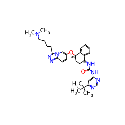 CN(C)CCCCc1nnc2ccc(O[C@@H]3CC[C@H](NC(=O)Nc4cc(C(C)(C)C)ncn4)c4ccccc43)cn12